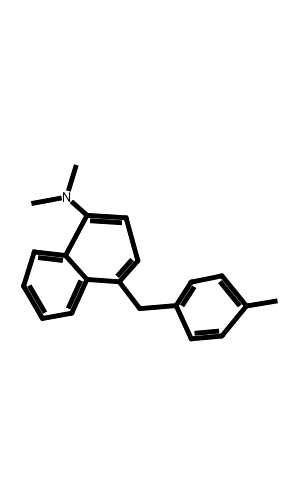 Cc1ccc(Cc2ccc(N(C)C)c3ccccc23)cc1